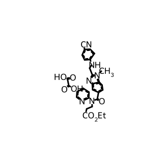 CCOC(=O)CCN(C(=O)c1ccc2c(c1)nc(CNc1ccc(C#N)cc1)n2C)c1ccccn1.O=C(O)C(=O)O